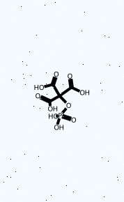 O=C(O)C(OP(=O)(O)O)(C(=O)O)C(=O)O